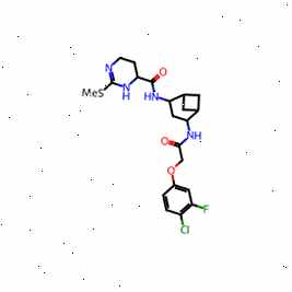 CSC1=NCCC(C(=O)NC2CC(NC(=O)COc3ccc(Cl)c(F)c3)C3CC2C3)N1